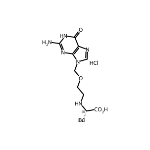 CCC(C)[C@H](NCCOCn1cnc2c(=O)[nH]c(N)nc21)C(=O)O.Cl